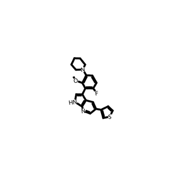 COc1c(N2CCCCC2)ccc(F)c1-c1c[nH]c2ncc(-c3ccsc3)cc12